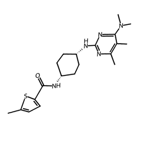 Cc1ccc(C(=O)N[C@H]2CC[C@@H](Nc3nc(C)c(C)c(N(C)C)n3)CC2)s1